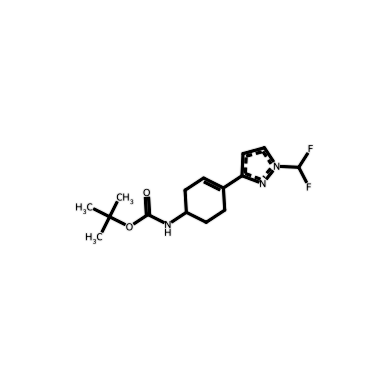 CC(C)(C)OC(=O)NC1CC=C(c2ccn(C(F)F)n2)CC1